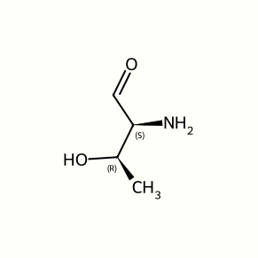 C[C@@H](O)[C@H](N)C=O